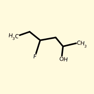 CCC(F)CC(C)O